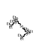 CCO[Si](CCCSSCCC[Si](OCC)(OCC)OCCN(CC)CC)(OCC)OCCN(CC)CC